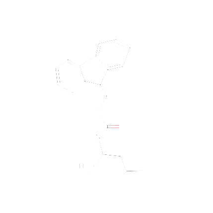 O=CCCC(NC(=O)OCC1c2ccccc2-c2ccccc21)C(=O)O